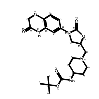 CC(C)(C)OC(=O)NC1CCN(CC2CN(c3ccc4c(c3)NC(=O)CO4)C(=O)O2)CC1